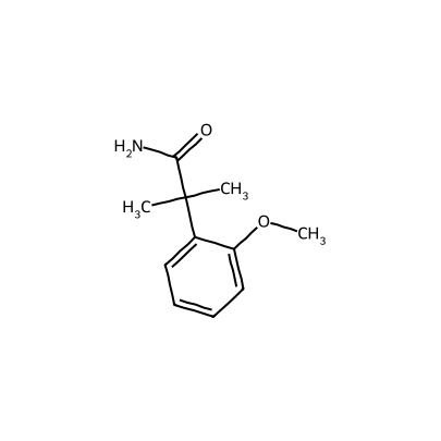 COc1ccccc1C(C)(C)C(N)=O